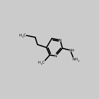 CCCc1cnc(NN)nc1C